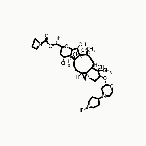 CC(C)[C@@H](OC(=O)N1CCC1)C1C[C@@H](C)[C@H]2C(O1)[C@H](O)[C@@]1(C)C(C)CC[C@H]3C(C)(C)[C@@H](O[C@H]4CN(C5CCN(C(C)C)CC5)CCO4)CC[C@@]34C[C@@H]4CC[C@]21C